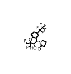 O=C1CCCN1[C@H]1c2cc(C(F)(F)C(F)(F)F)ccc2OC(CF)(CF)[C@@H]1O